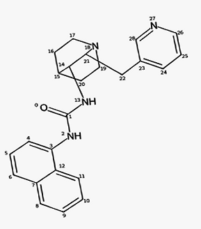 O=C(Nc1cccc2ccccc12)NC1C2CCN(CC2)C1Cc1cccnc1